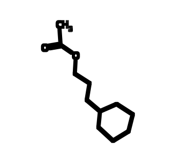 CC(=O)OCCCC1CCCCC1